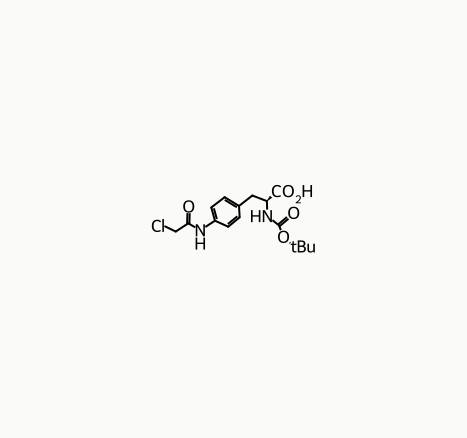 CC(C)(C)OC(=O)N[C@@H](Cc1ccc(NC(=O)CCl)cc1)C(=O)O